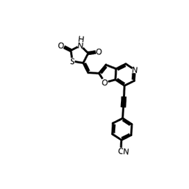 N#Cc1ccc(C#Cc2cncc3cc(C=C4SC(=O)NC4=O)oc23)cc1